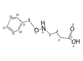 O=C(O)CCCNOCc1ccccc1